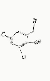 Oc1c(Cl)cc(Cl)cc1CCl